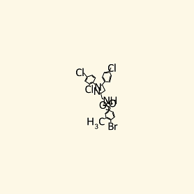 Cc1cc(S(=O)(=O)NCC2=NN(c3ccc(Cl)cc3Cl)C(c3ccc(Cl)cc3)C2)ccc1Br